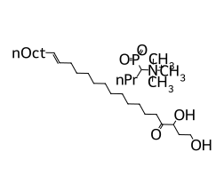 CCCC(P(=O)=O)[N+](C)(C)C.CCCCCCCCC=CCCCCCCCCCCCC(=O)C(O)CCO